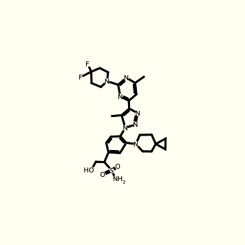 Cc1cc(-c2nnn(-c3ccc(C(CO)S(N)(=O)=O)cc3N3CCC4(CC3)CC4)c2C)nc(N2CCC(F)(F)CC2)n1